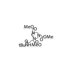 COC(=O)CN1CCN(CC(=O)OC)CCN(C(CCC(=O)NC(C)(C)C)C(=O)OC)CC1